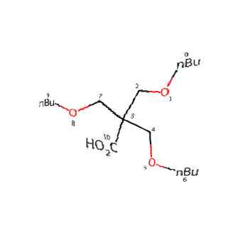 CCCCOCC(COCCCC)(COCCCC)C(=O)O